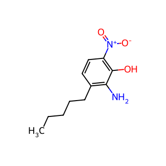 CCCCCc1ccc([N+](=O)[O-])c(O)c1N